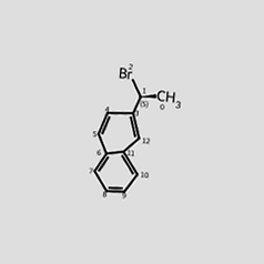 C[C@H](Br)c1ccc2ccccc2c1